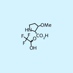 CO[C@@H]1CCN[C@@H]1C(=O)O.O=C(O)C(F)(F)F